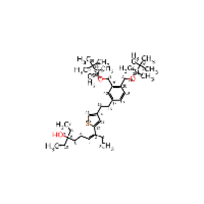 CC/C(=C/CCC(O)(CC)CC)c1cc(CCc2ccc(CO[Si](C)(C)C(C)(C)C)c(CO[Si](C)(C)C(C)(C)C)c2)cs1